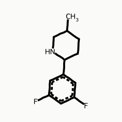 CC1CCC(c2cc(F)cc(F)c2)NC1